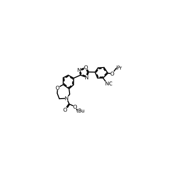 [C-]#[N+]c1cc(-c2nc(-c3ccc4c(c3)CN(C(=O)OC(C)(C)C)CCO4)no2)ccc1OC(C)C